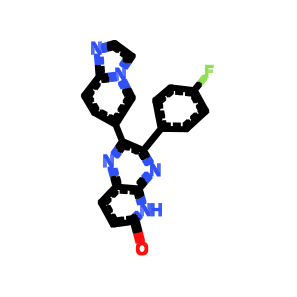 O=c1ccc2nc(-c3ccc4nccn4c3)c(-c3ccc(F)cc3)nc2[nH]1